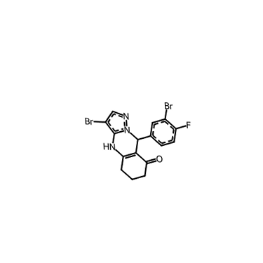 O=C1CCCC2=C1C(c1ccc(F)c(Br)c1)n1ncc(Br)c1N2